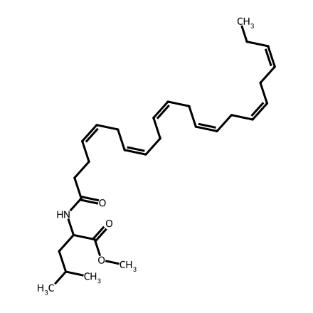 CC/C=C\C/C=C\C/C=C\C/C=C\C/C=C\C/C=C\CCC(=O)NC(CC(C)C)C(=O)OC